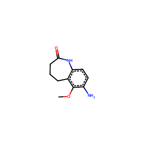 COc1c(N)ccc2c1CCCC(=O)N2